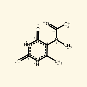 Cc1[nH]c(=O)[nH]c(=O)c1N(C)C(=O)O